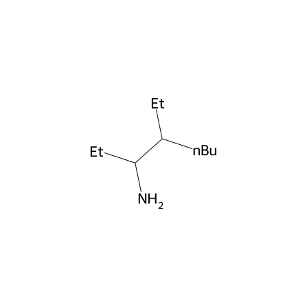 CCCCC(CC)C(N)CC